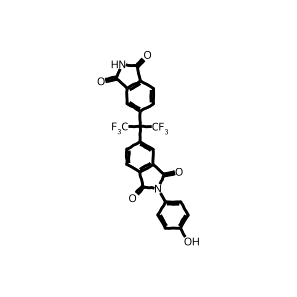 O=C1NC(=O)c2cc(C(c3ccc4c(c3)C(=O)N(c3ccc(O)cc3)C4=O)(C(F)(F)F)C(F)(F)F)ccc21